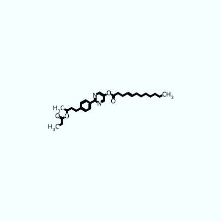 CCCCCCCC=CCCC(=O)Oc1cnc(-c2ccc(CCC(C)OC(=O)CC)cc2)nc1